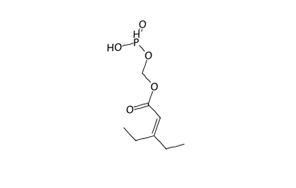 CCC(=CC(=O)OCO[PH](=O)O)CC